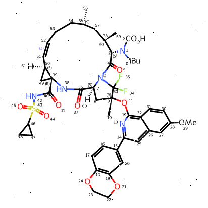 CCC(C)N(C(=O)O)[C@@H]1C(=O)N2[C@@H](C[C@@](C)(Oc3nc(-c4ccc5c(c4)OCCO5)cc4cc(OC)ccc34)C2(F)F)C(=O)N[C@]2(C(=O)NS(=O)(=O)C3CC3)C[C@H]2/C=C\CC[C@H](C)C[C@H]1C